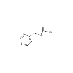 C=C(CCC)NCc1ccccn1